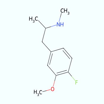 CNC(C)Cc1ccc(F)c(OC)c1